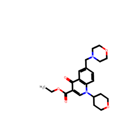 CCOC(=O)c1cn(C2CCOCC2)c2ccc(CN3CCOCC3)cc2c1=O